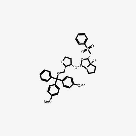 COc1ccc(C(OC[C@H]2OCC[C@@H]2O[P@]2O[C@H](CS(=O)(=O)c3ccccc3)[C@@H]3CCCN32)(c2ccccc2)c2ccc(OC)cc2)cc1